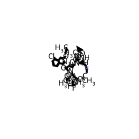 CCCOc1cc2c(Cl)cccc2c(O[C@@H]2C[C@H]3C(=O)N[C@]4(C(=O)NS(=O)(=O)C5(C)CC5)C[C@H]4/C=C\CC[C@@H](C)C[C@@H](C)[C@H](N(C(=O)O)C(C)(C)C(F)(F)F)C(=O)N3C2)n1